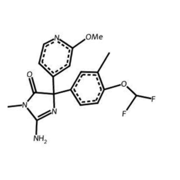 COc1cc(C2(c3ccc(OC(F)F)c(C)c3)N=C(N)N(C)C2=O)ccn1